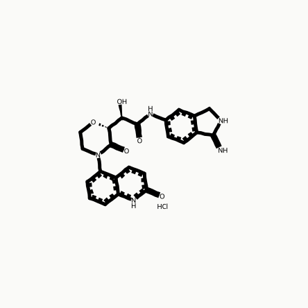 Cl.N=C1NCc2cc(NC(=O)[C@H](O)[C@H]3OCCN(c4cccc5[nH]c(=O)ccc45)C3=O)ccc21